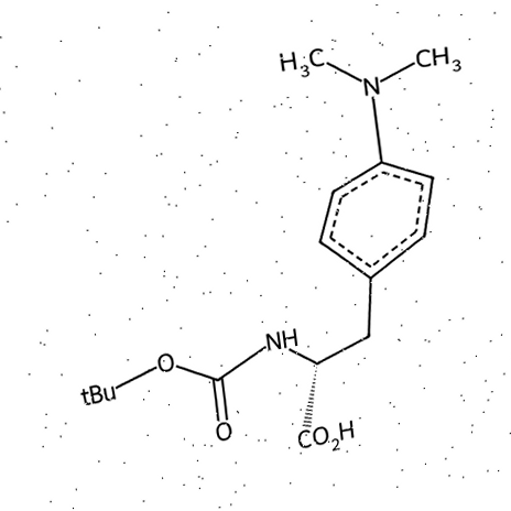 CN(C)c1ccc(C[C@@H](NC(=O)OC(C)(C)C)C(=O)O)cc1